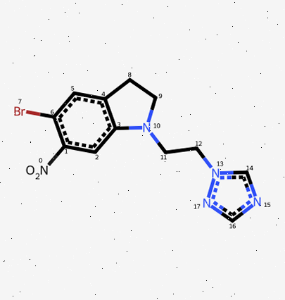 O=[N+]([O-])c1cc2c(cc1Br)CCN2CCn1cncn1